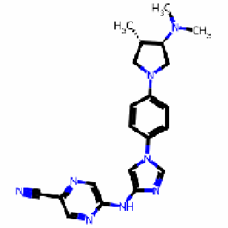 C[C@H]1CN(c2ccc(-n3cnc(Nc4cnc(C#N)cn4)c3)cc2)C[C@@H]1N(C)C